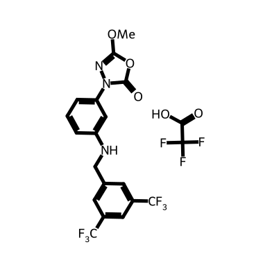 COc1nn(-c2cccc(NCc3cc(C(F)(F)F)cc(C(F)(F)F)c3)c2)c(=O)o1.O=C(O)C(F)(F)F